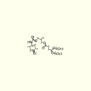 [CH2]C(COC(=O)CCC(OCCCCCCCC)OCCCCCCCC)COC(=O)NC1CCN(CC)CC1